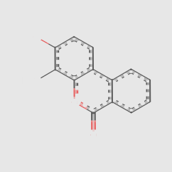 Cc1c(O)ccc2c1oc(=O)c1ccccc12